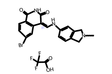 CN1Cc2ccc(N/C=C3\C(=O)NC(=O)c4ccc(Br)cc43)cc2C1.O=C(O)C(F)(F)F